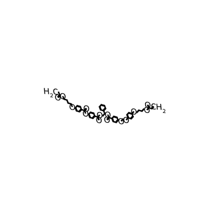 C=CC(=O)OCCCCOc1ccc(OCOc2ccc(C(=O)OC(COC(=O)c3ccc(OC(=O)c4ccc(OCCCCOC(=O)C=C)cc4)cc3)c3ccccc3)cc2)cc1